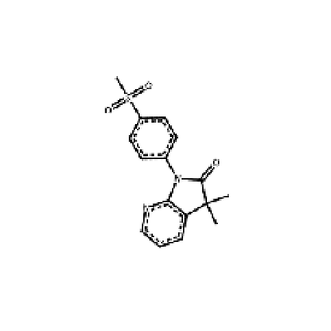 CC1(C)C(=O)N(c2ccc(S(C)(=O)=O)cc2)c2ncccc21